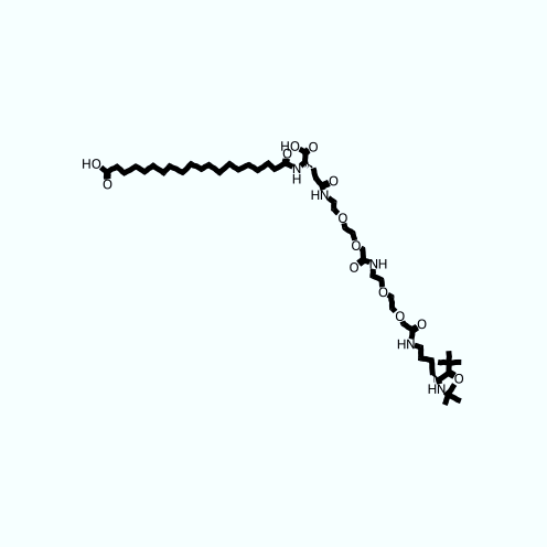 CC(C)(C)N[C@@H](CCCCNC(=O)COCCOCCNC(=O)COCCOCCNC(=O)CC[C@H](NC(=O)CCCCCCCCCCCCCCCCCCC(=O)O)C(=O)O)C(=O)C(C)(C)C